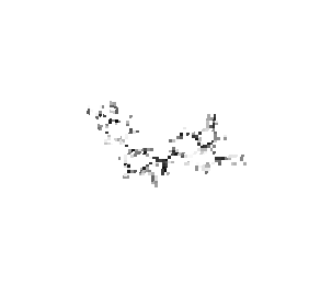 CC(C)c1n[nH]c2ccc(-c3cnc4ccc(N5CCC(C)(O)CC5)nn34)cc12